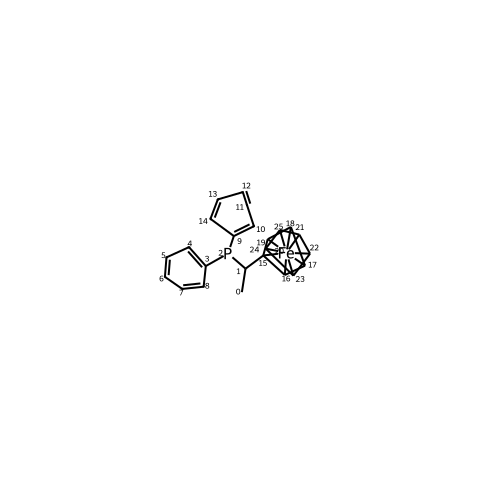 CC(P(c1ccccc1)c1ccccc1)[C]12[CH]3[CH]4[CH]5[CH]1[Fe]45321678[CH]2[CH]1[CH]6[CH]7[CH]28